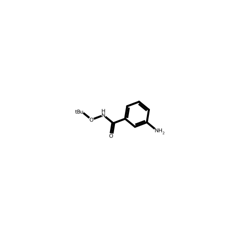 CC(C)(C)ONC(=O)c1cccc(N)c1